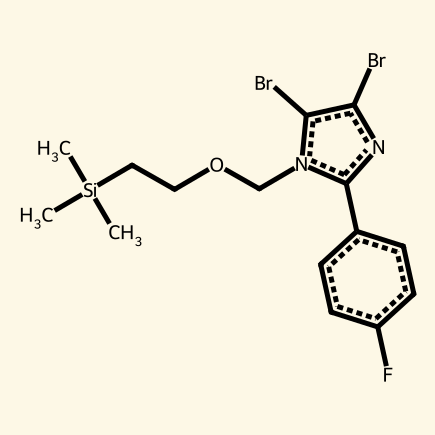 C[Si](C)(C)CCOCn1c(-c2ccc(F)cc2)nc(Br)c1Br